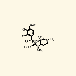 COc1ccc(C(C)NC(=O)N(C)C2CCN(C)CC2(C)C)c(Cl)c1Cl.Cl